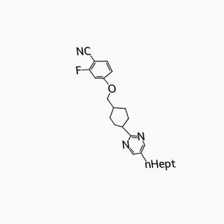 CCCCCCCc1cnc(C2CCC(COc3ccc(C#N)c(F)c3)CC2)nc1